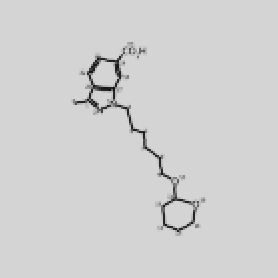 Cc1nn(CCCCCCOC2CCCCO2)c2cc(C(=O)O)ccc12